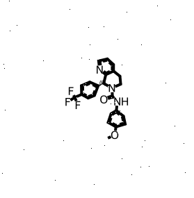 COc1ccc(NC(=O)N2CCc3cccnc3[C@H]2c2ccc(C(F)(F)F)cc2)cc1